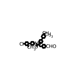 Cc1cc(Cl)ccc1-c1ccc(NC(=O)C(Cc2ccc(C=O)cc2)c2ccc(C3=CCC(C)(C)CC3)cc2)cc1